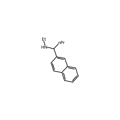 CCCC(NCC)c1ccc2ccccc2c1